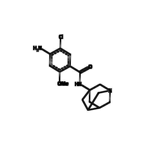 COc1cc(N)c(Cl)cc1C(=O)NC12CC3CN(CC3C1)C2